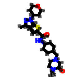 CCN1CCN(CC2CCC(NC(=O)c3cc4c(C)nn(C5CCOCC5)c4s3)CC2)CC1=O